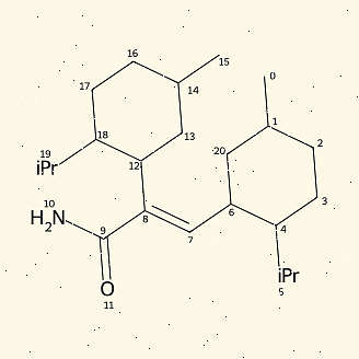 CC1CCC(C(C)C)C(C=C(C(N)=O)C2CC(C)CCC2C(C)C)C1